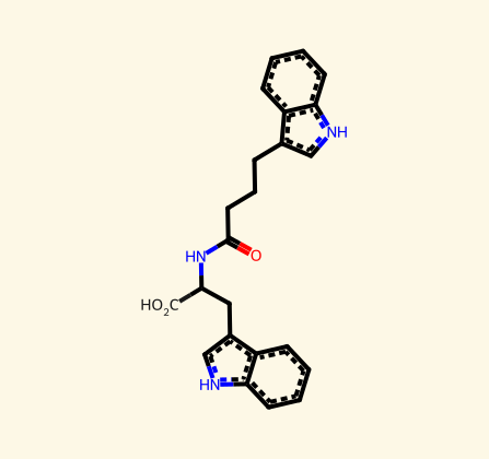 O=C(CCCc1c[nH]c2ccccc12)NC(Cc1c[nH]c2ccccc12)C(=O)O